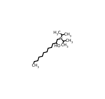 CCCCCCCCCCC(O)CN(C(C)C)C(C)C